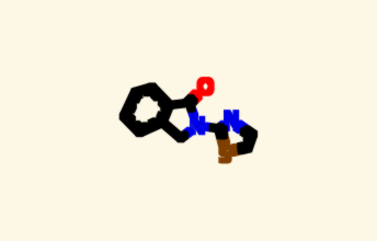 O=C1c2ccccc2CN1c1nccs1